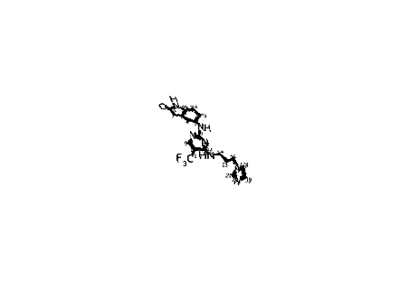 O=C1Cc2cc(Nc3ncc(C(F)(F)F)c(NCCCn4ccnc4)n3)ccc2N1